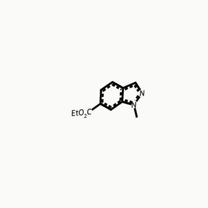 CCOC(=O)c1ccc2cnn(C)c2c1